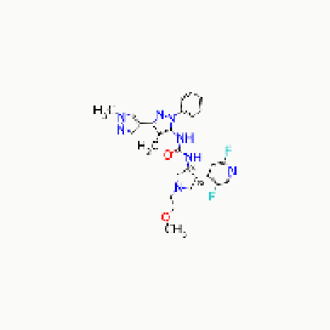 COCCN1C[C@@H](NC(=O)Nc2c(C)c(-c3cnn(C)c3)nn2-c2ccccc2)[C@H](c2cc(F)ncc2F)C1